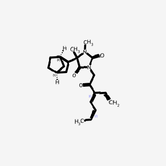 C=C/C(=C\C=C/C)C(=O)CN1C(=O)N(C)C(C)(C2C[C@H]3CC[C@@H]2C3)C1=O